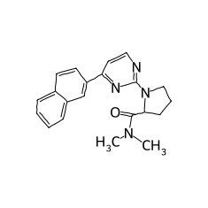 CN(C)C(=O)C1CCCN1c1nccc(-c2ccc3ccccc3c2)n1